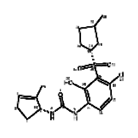 CC1=CCC[C@H]1NC(=O)Nc1ccc(Cl)c(S(=O)(=O)[C@@H]2CCC(C)C2)c1O